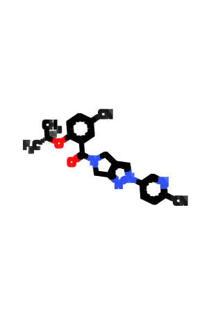 C[C@H](Oc1ccc(C#N)cc1C(=O)N1Cc2cn(-c3ccc(C#N)nc3)nc2C1)C(F)(F)F